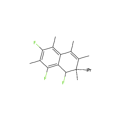 CC1=C(C)C(C)(C(C)C)C(F)c2c(F)c(C)c(F)c(C)c21